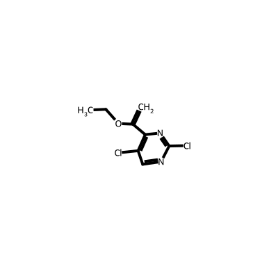 C=C(OCC)c1nc(Cl)ncc1Cl